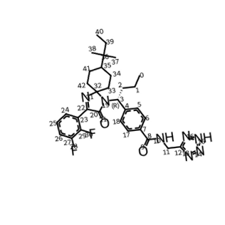 CCC[C@H](c1ccc(C(=O)NCc2nn[nH]n2)cc1)N1C(=O)C(c2cccc(F)c2F)=NC12CCC(C(C)(C)CC)CC2